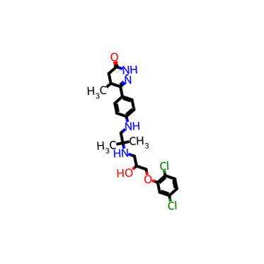 CC1CC(=O)NN=C1c1ccc(NCC(C)(C)NCC(O)COc2cc(Cl)ccc2Cl)cc1